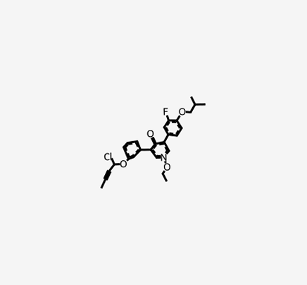 CC#CC(Cl)Oc1cccc(-c2cn(OCC)cc(-c3ccc(OCC(C)C)c(F)c3)c2=O)c1